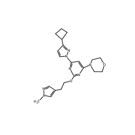 Cn1cc(CCOc2nc(N3CCOCC3)cc(-n3ccc(C4CCC4)n3)n2)cn1